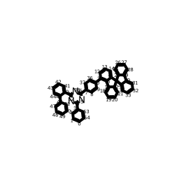 c1ccc(-c2nc(-c3ccc(-c4cccc5c4-c4ccccc4C54c5ccccc5-c5ccccc54)cc3)nc(-c3ccccc3-c3ccccc3)n2)cc1